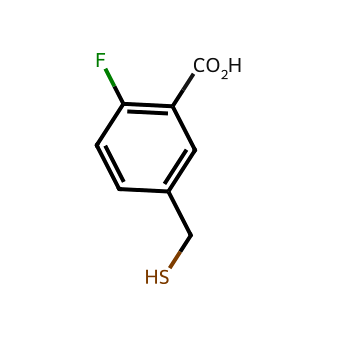 O=C(O)c1cc(CS)ccc1F